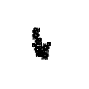 O=C(NCC(=O)N1CCC(CO)CC1)c1ccc(S(=O)(=O)Nc2ccccc2Oc2ccc(Cl)cc2Cl)cc1